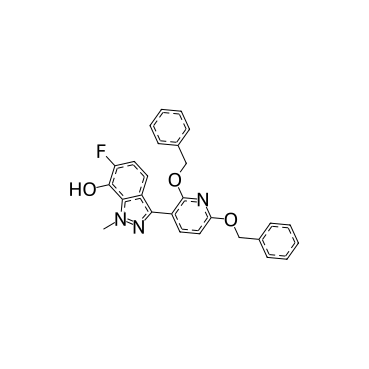 Cn1nc(-c2ccc(OCc3ccccc3)nc2OCc2ccccc2)c2ccc(F)c(O)c21